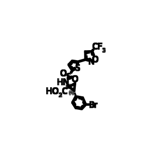 O=C(O)[C@]1(NS(=O)(=O)c2ccc(-c3cc(C(F)(F)F)on3)s2)C[C@@H]1c1cccc(Br)c1